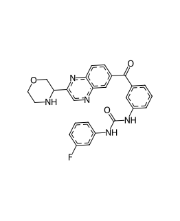 O=C(Nc1cccc(F)c1)Nc1cccc(C(=O)c2ccc3nc(C4COCCN4)cnc3c2)c1